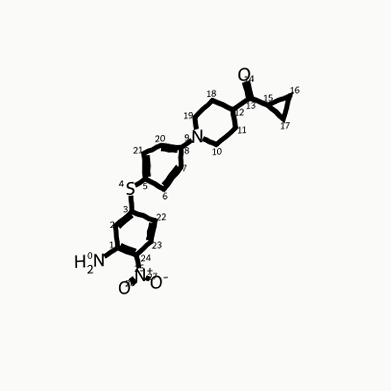 Nc1cc(Sc2ccc(N3CCC(C(=O)C4CC4)CC3)cc2)ccc1[N+](=O)[O-]